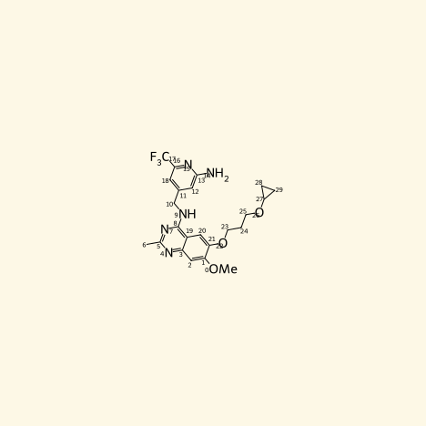 COc1cc2nc(C)nc(NCc3cc(N)nc(C(F)(F)F)c3)c2cc1OCCCOC1CC1